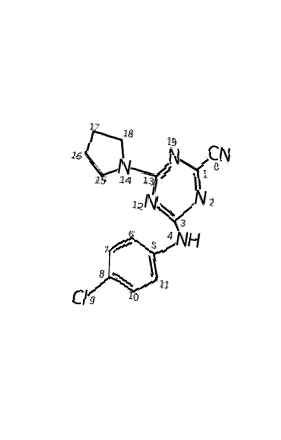 N#Cc1nc(Nc2ccc(Cl)cc2)nc(N2CCCC2)n1